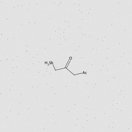 CC(=O)CC(=O)[CH2][SbH2]